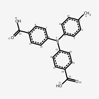 Cc1ccc(N(c2ccc(C(=O)O)cc2)c2ccc(C(=O)O)cc2)cc1